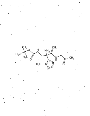 C=C(NCC(C)=O)C(N)(CNC(=O)OC(C)(C)C)c1ccnn1C